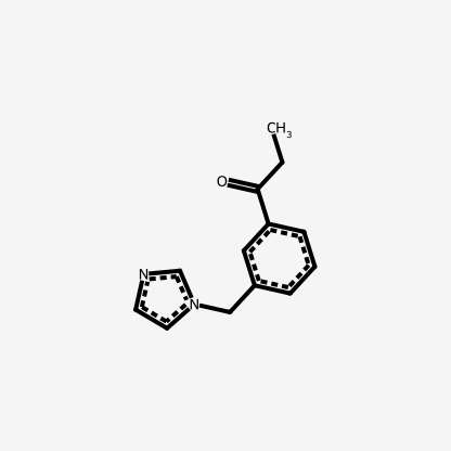 CCC(=O)c1cccc(Cn2ccnc2)c1